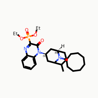 CCOP(=O)(OCC)c1nc2ccccc2n([C@@H]2CC3C(C)CC[C@H](C2)N3C2CCCCCCC2)c1=O